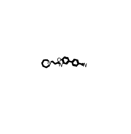 N#Cc1ccc(-c2ccc3oc(CCN4CCCCCC4)nc3c2)cc1